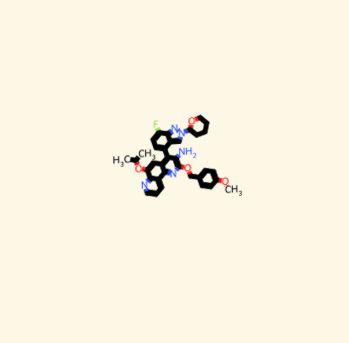 COc1ccc(COc2nc3c(cc(OC(C)C)c4ncccc43)c(-c3ccc(F)c4nn(C5CCCCO5)cc34)c2N)cc1